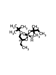 CC[C@@H](COC(C)(C)C)OP(=O)(O)OC(C)(C)CC